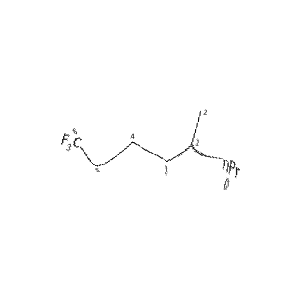 CCCC(C)CCCC(F)(F)F